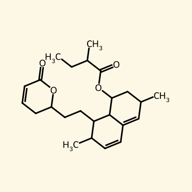 CCC(C)C(=O)OC1CC(C)C=C2C=CC(C)C(CCC3CC=CC(=O)O3)C21